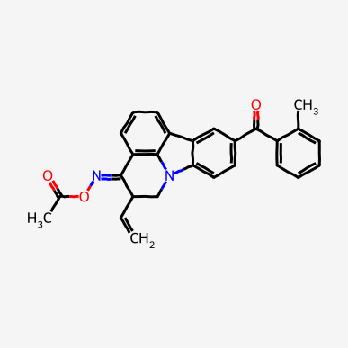 C=CC1Cn2c3ccc(C(=O)c4ccccc4C)cc3c3cccc(c32)/C1=N/OC(C)=O